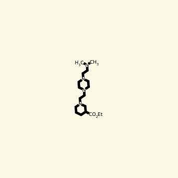 CCOC(=O)C1CCCN(CCN2CCN(CCN(C)C)CC2)C1